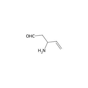 C=CC(N)CC=O